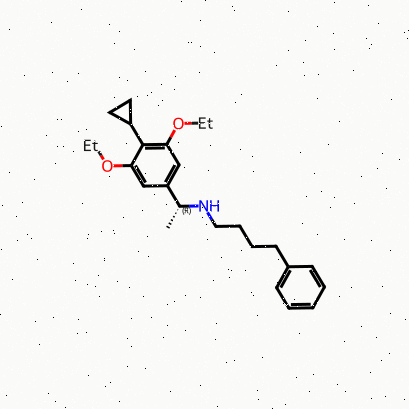 CCOc1cc([C@@H](C)NCCCCc2ccccc2)cc(OCC)c1C1CC1